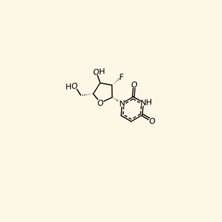 O=c1ccn([C@@H]2O[C@H](CO)C(O)[C@@H]2F)c(=O)[nH]1